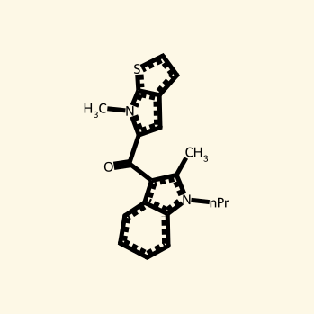 CCCn1c(C)c(C(=O)c2cc3ccsc3n2C)c2ccccc21